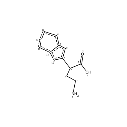 NCCC(C(=O)O)c1cc2ccccc2s1